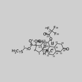 CSCOC(=O)C1(O)CC[C@H]2[C@@H]3CCC4=CC(=O)CC[C@]4(C)[C@@H]3C(OC(=O)C(F)(F)F)C[C@@]21C